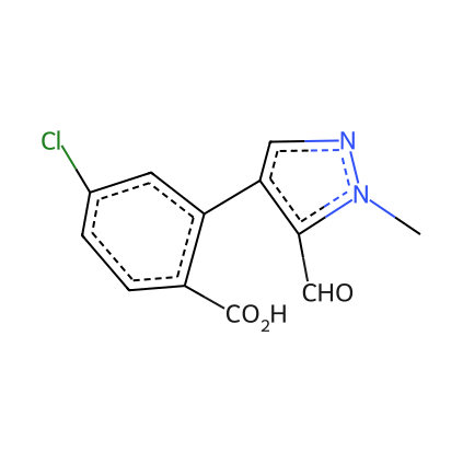 Cn1ncc(-c2cc(Cl)ccc2C(=O)O)c1C=O